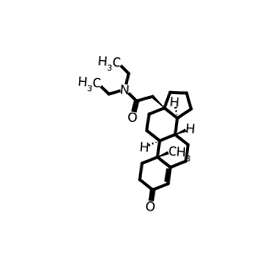 CCN(CC)C(=O)C[C@@]12CCC[C@H]1[C@@H]1CCC3=CC(=O)CC[C@]3(C)[C@H]1CC2